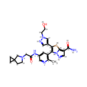 Cc1ncc(NC(=O)CN2CCC3(CC3)C2)cc1-c1c(-c2cnn(CCO)c2)sc2c(C(N)=O)cnn12